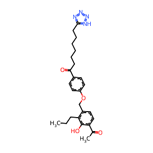 CCCc1c(COc2ccc(C(=O)CCCCCCc3nnn[nH]3)cc2)ccc(C(C)=O)c1O